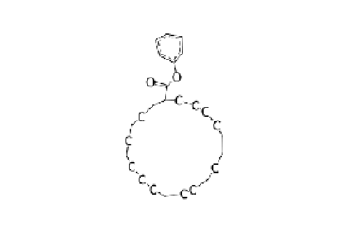 O=C(Oc1ccccc1)C1CCCCCCCCCCCCCCCCCCC1